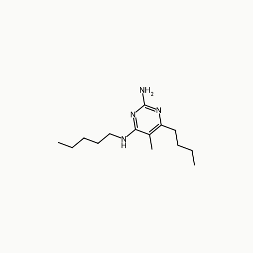 CCCCCNc1nc(N)nc(CCCC)c1C